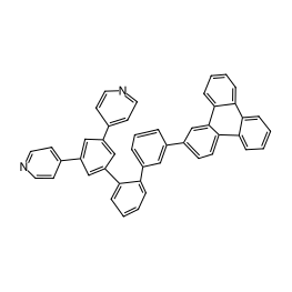 c1cc(-c2ccc3c4ccccc4c4ccccc4c3c2)cc(-c2ccccc2-c2cc(-c3ccncc3)cc(-c3ccncc3)c2)c1